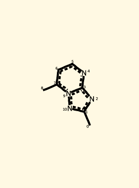 Cc1nc2nccc(C)n2n1